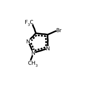 Cn1nc(Br)c(C(F)(F)F)n1